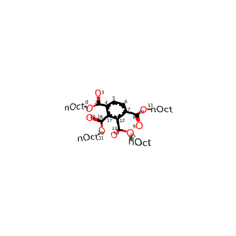 CCCCCCCCOC(=O)c1ccc(C(=O)OCCCCCCCC)c(C(=O)OCCCCCCCC)c1C(=O)OCCCCCCCC